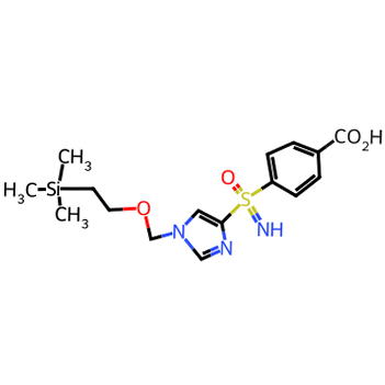 C[Si](C)(C)CCOCn1cnc(S(=N)(=O)c2ccc(C(=O)O)cc2)c1